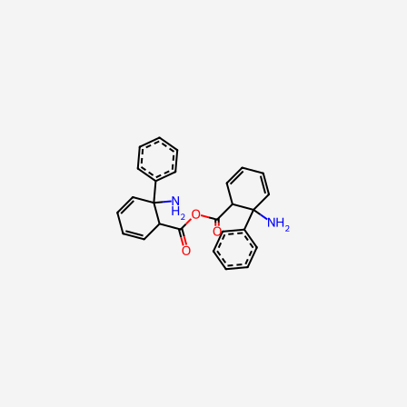 NC1(c2ccccc2)C=CC=CC1C(=O)OC(=O)C1C=CC=CC1(N)c1ccccc1